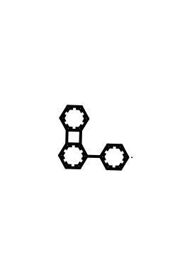 [c]1ccc(-c2cccc3c2-c2ccccc2-3)cc1